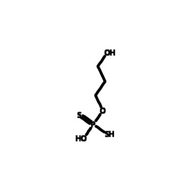 OCCCOP(O)(=S)S